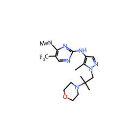 CNc1nc(Nc2cnn(CC(C)(C)N3CCOCC3)c2C)ncc1C(F)(F)F